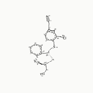 N#Cc1ccc(S[C@H](C[C@H](N)CO)c2ccccc2)c(Cl)c1